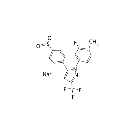 Cc1ccc(-n2nc(C(F)(F)F)cc2-c2ccc(S(=O)[O-])cc2)cc1F.[Na+]